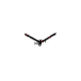 C=C(C(=O)O)C(CCCCCCCCCCCCCCCCCCCCCC)(CCCCCCCCCCCCCCCCCCCCCC)C(=O)O